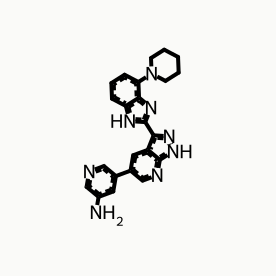 Nc1cncc(-c2cnc3[nH]nc(-c4nc5c(N6CCCCC6)cccc5[nH]4)c3c2)c1